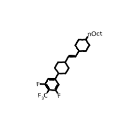 CCCCCCCCC1CCC(/C=C/C2CCC(c3cc(F)c(C(F)(F)F)c(F)c3)CC2)CC1